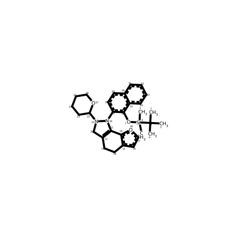 CC(C)(C)[Si](C)(C)Oc1c(N2C3=C(CCc4ccoc43)CN2C2CCCCO2)ccc2ccccc12